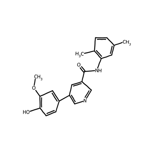 COc1cc(-c2cncc(C(=O)Nc3cc(C)ccc3C)c2)ccc1O